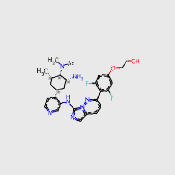 CC(=O)N(C)[C@@H]1[C@H](N)C[C@H](c2ccncc2Nc2ncc3ccc(-c4c(F)cc(OCCO)cc4F)nn23)C[C@@H]1C